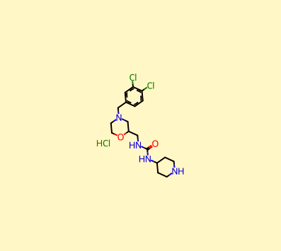 Cl.O=C(NCC1CN(Cc2ccc(Cl)c(Cl)c2)CCO1)NC1CCNCC1